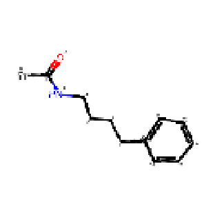 CC(C)C(=O)NCCCCc1ccccc1